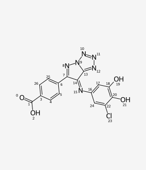 O=C(O)c1ccc(C2=Nn3nnnc3C2=Nc2cc(O)c(O)c(Cl)c2)cc1